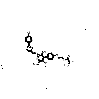 [C-]#[N+]c1c(NC)nc(SCc2csc(-c3ccc(Cl)cc3)n2)c(C#N)c1-c1ccc(OCCOC(=O)[C@H](C)N)cc1